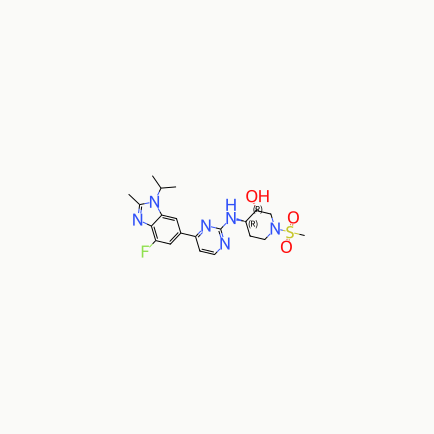 Cc1nc2c(F)cc(-c3ccnc(N[C@@H]4CCN(S(C)(=O)=O)C[C@H]4O)n3)cc2n1C(C)C